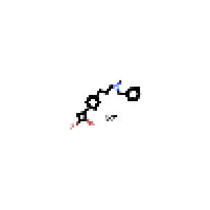 CC#N.CN(CCCc1ccc(C2CC(Br)C2Br)cc1)Cc1ccccc1